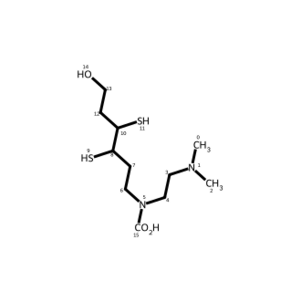 CN(C)CCN(CCC(S)C(S)CCO)C(=O)O